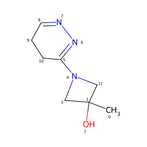 CC1(O)CN(C2=NN=CCC2)C1